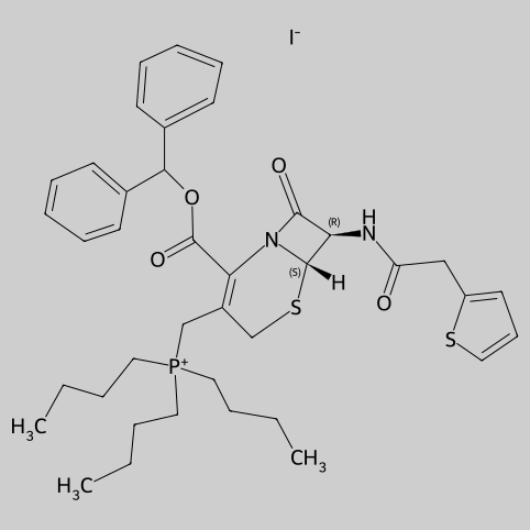 CCCC[P+](CCCC)(CCCC)CC1=C(C(=O)OC(c2ccccc2)c2ccccc2)N2C(=O)[C@@H](NC(=O)Cc3cccs3)[C@@H]2SC1.[I-]